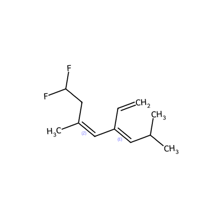 C=CC(/C=C(/C)CC(F)F)=C\C(C)C